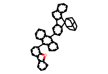 c1ccc2c3c(ccc2c1)-c1cc(-c2c4ccccc4c(-c4cccc5c4oc4ccccc45)c4ccccc24)ccc1C31C2CC3CC(C2)CC1C3